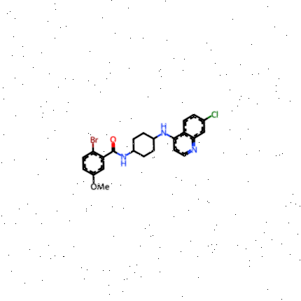 COc1ccc(Br)c(C(=O)NC2CCC(Nc3ccnc4cc(Cl)ccc34)CC2)c1